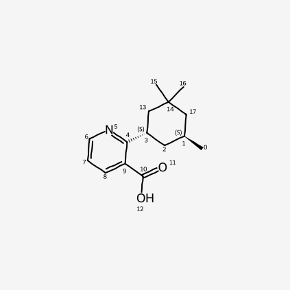 C[C@H]1C[C@H](c2ncccc2C(=O)O)CC(C)(C)C1